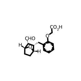 O=C[C@@H]1[C@H](Cc2ccccc2OCC(=O)O)[C@@H]2CC[C@H]1O2